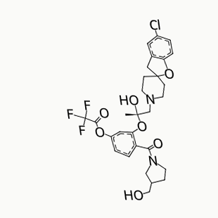 C[C@@](O)(CN1CCC2(CC1)Cc1cc(Cl)ccc1O2)Oc1cc(OC(=O)C(F)(F)F)ccc1C(=O)N1CCC(CO)C1